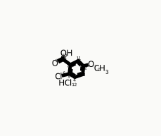 COc1ccc(Cl)c(C(=O)O)c1.Cl